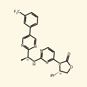 CC(C)[C@H]1COC(=O)N1c1ccnc(N[C@@H](C)c2ncc(-c3cccc(C(F)(F)F)c3)cn2)n1